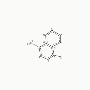 [CH2]CCc1ccc(C)c2ccccc12